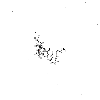 COCOc1cc(-c2c(Cl)cc3c(C45CCN(C(=O)O)CC4C5)nc(N4CC(N(C)C)C4)nc3c2F)c2ccccc2c1